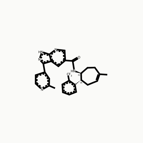 CC1=CC[C@H](c2ccccc2C(F)(F)F)[C@@H](NC(=O)c2cnc3[nH]nc(-c4ccnc(C)c4)c3c2)CC1